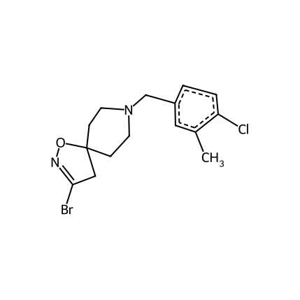 Cc1cc(CN2CCC3(CC2)CC(Br)=NO3)ccc1Cl